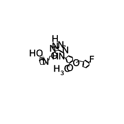 COc1cc(Nc2ncnc3[nH]nc(OCCN4CCC[C@@H]4CO)c23)ccc1OCc1cccc(F)c1